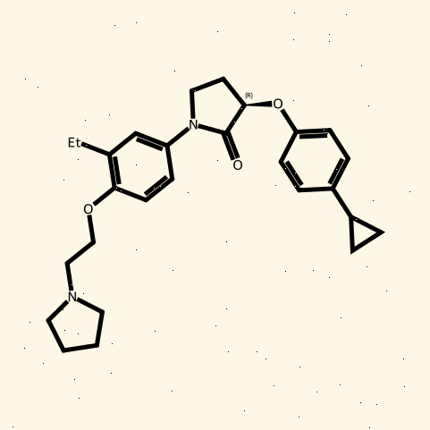 CCc1cc(N2CC[C@@H](Oc3ccc(C4CC4)cc3)C2=O)ccc1OCCN1CCCC1